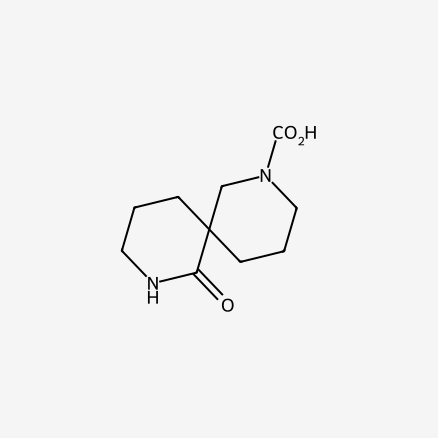 O=C(O)N1CCCC2(CCCNC2=O)C1